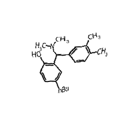 CCCCc1ccc(O)c(C(c2ccc(C)c(C)c2)N(C)C)c1